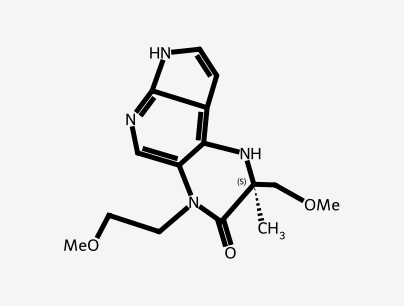 COCCN1C(=O)[C@](C)(COC)Nc2c1cnc1[nH]ccc21